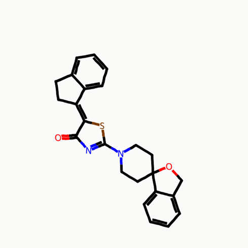 O=C1N=C(N2CCC3(CC2)OCc2ccccc23)S/C1=C1/CCc2ccccc21